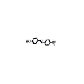 Oc1ccc(/C=C/c2ccc(BI)cc2)cc1